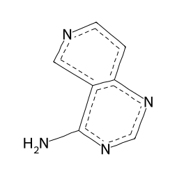 Nc1ncnc2ccncc12